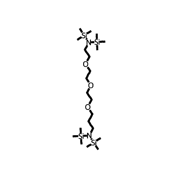 C[Si](C)(C)N(CCCOCCOCCOCCN([Si](C)(C)C)[Si](C)(C)C)[Si](C)(C)C